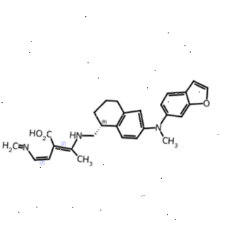 C=N/C=C\C(C(=O)O)=C(/C)NC[C@@H]1CCCc2cc(N(C)c3ccc4ccoc4c3)ccc21